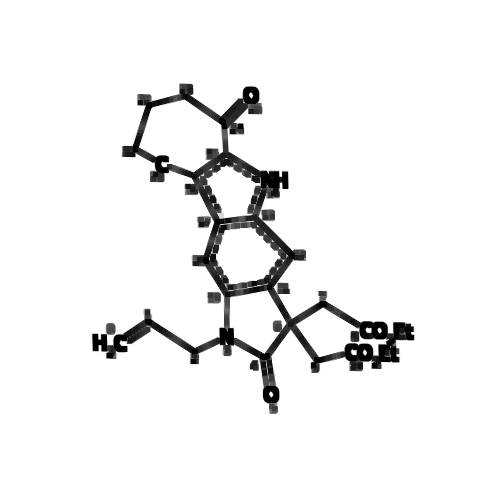 C=CCN1C(=O)C(CC(=O)OCC)(CC(=O)OCC)c2cc3[nH]c4c(c3cc21)CCCCC4=O